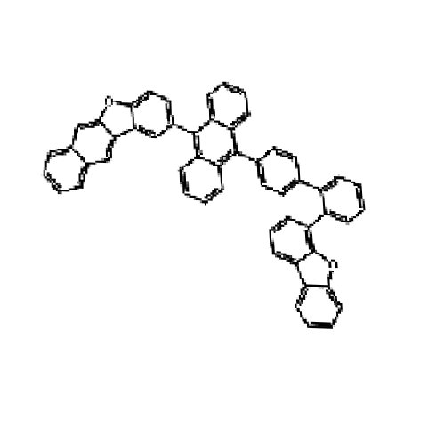 c1ccc(-c2cccc3c2oc2ccccc23)c(-c2ccc(-c3c4ccccc4c(-c4ccc5oc6cc7ccccc7cc6c5c4)c4ccccc34)cc2)c1